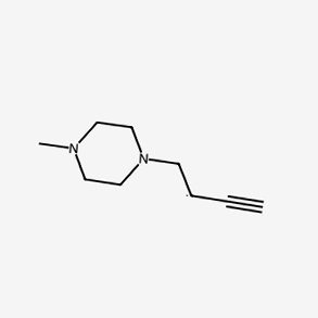 C#C[CH]CN1CCN(C)CC1